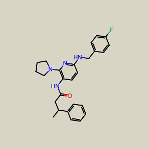 CC(CC(=O)Nc1ccc(NCc2ccc(F)cc2)nc1N1CCCC1)c1ccccc1